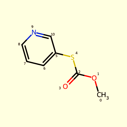 COC(=O)Sc1cccnc1